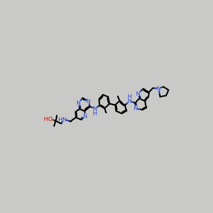 Cc1c(Nc2nccc3cc(CN4CCCC4)cnc23)cccc1-c1cccc(Nc2ncnc3cc(CNCC(C)(C)O)cnc23)c1C